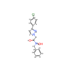 O=C(Cn1ccc(-c2ccc(Cl)cc2)n1)N(O)Cc1ccccc1